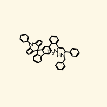 N/C(=C\C(NCc1ccccc1)c1ccccc1)c1ccccc1-c1ccc2c(c1)C1(c3ccccc3-2)c2ccccc2N(c2ccccc2)c2ccccc21